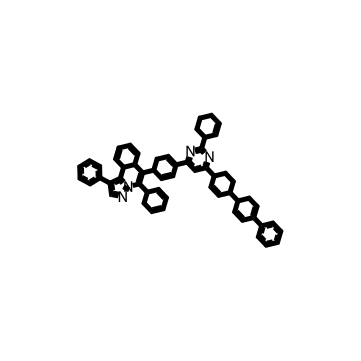 C1=CCC(C2=C(C3C=CC(c4cc(C5C=CC(C6C=CC(c7ccccc7)=CC6)CC5)nc(C5C=CCCC5)n4)=CC3)C3C=CC=CC3c3c(-c4ccccc4)cnn32)C=C1